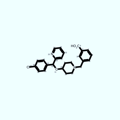 O=C(O)c1cccc(CN2CCC(OC(c3ccc(Cl)cc3)c3ccccn3)CC2)c1